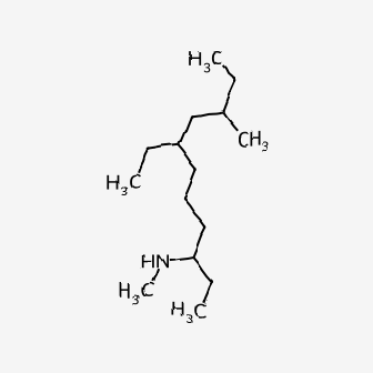 CCC(C)CC(CC)CCCC(CC)NC